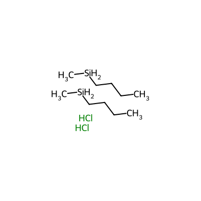 CCCC[SiH2]C.CCCC[SiH2]C.Cl.Cl